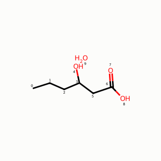 CCCC(O)CC(=O)O.O